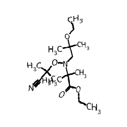 CCOC(=O)C(C)(C)N(CC(C)(C)OCC)OC(C)(C)C#N